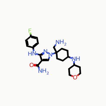 NCC1(n2cc(C(N)=O)c(Nc3ccc(F)cc3)n2)CCC(NC2CCOCC2)CC1